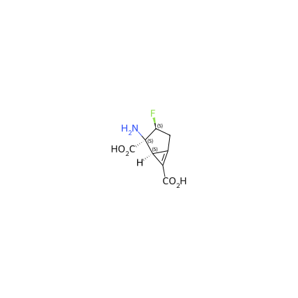 N[C@]1(C(=O)O)[C@H]2C(=C2C(=O)O)C[C@@H]1F